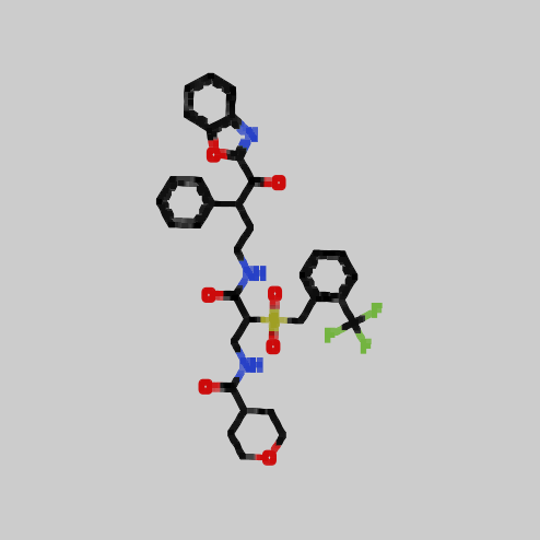 O=C(NCC(C(=O)NCCC(C(=O)c1nc2ccccc2o1)c1ccccc1)S(=O)(=O)Cc1ccccc1C(F)(F)F)C1CCOCC1